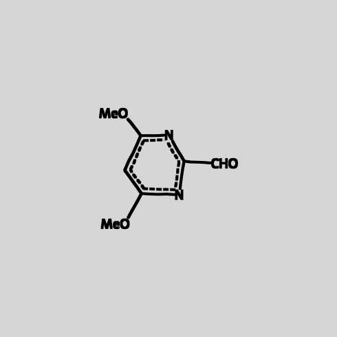 COc1cc(OC)nc(C=O)n1